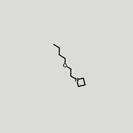 CCCCOCCN1CCC1